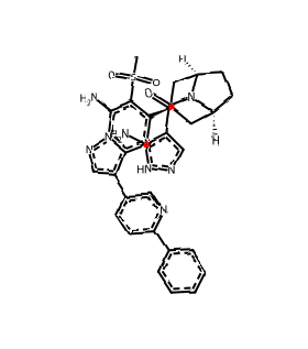 CS(=O)(=O)c1c([C@H]2C[C@H]3CC[C@@H](C2)N3C(=O)c2cn[nH]c2N)nc2c(-c3ccc(-c4ccccc4)nc3)cnn2c1N